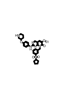 CCOc1cc2cnc(Nc3ccc(OC4CCCNC4)cc3)nc2n(Cc2cccc(S(=O)(=O)C3CCCC3)c2)c1=O